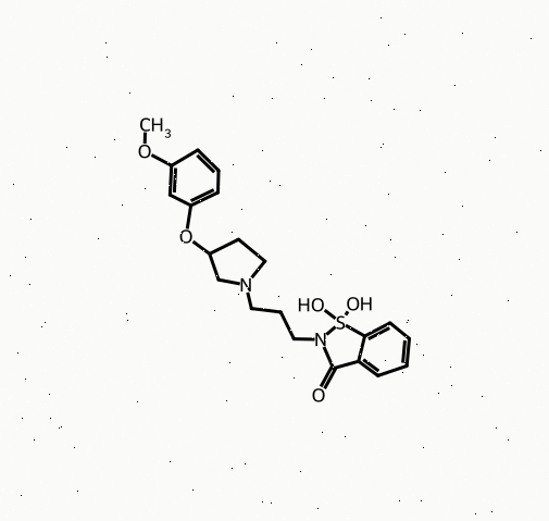 COc1cccc(OC2CCN(CCCN3C(=O)c4ccccc4S3(O)O)C2)c1